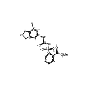 COC(=O)c1ccccc1S(=O)(=O)NC(=O)Nc1nc(C)c2c(n1)CCC2